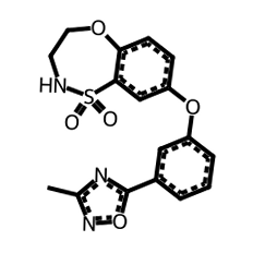 Cc1noc(-c2cccc(Oc3ccc4c(c3)S(=O)(=O)NCCO4)c2)n1